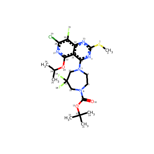 CSc1nc(N2CCN(C(=O)OC(C)(C)C)CC(F)(F)C2)c2c(OC(C)C)nc(Cl)c(F)c2n1